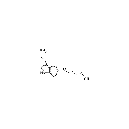 N#CCCCCOc1ccc2[nH]cc(CCN)c2c1